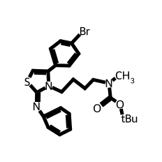 CN(CCCCn1c(-c2ccc(Br)cc2)cs/c1=N/c1ccccc1)C(=O)OC(C)(C)C